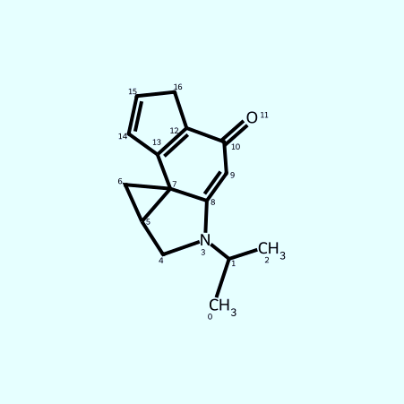 CC(C)N1CC2CC23C1=CC(=O)C1=C3C=CC1